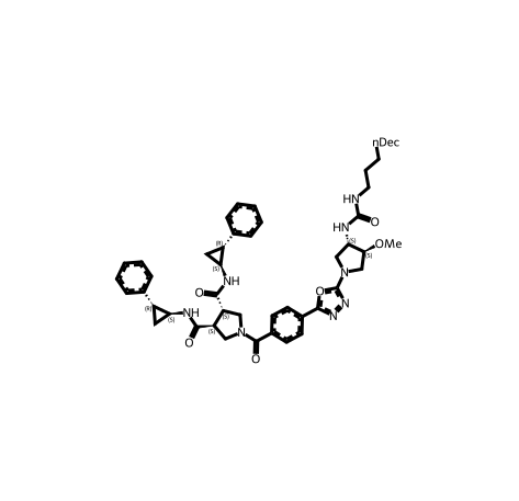 CCCCCCCCCCCCCNC(=O)N[C@H]1CN(c2nnc(-c3ccc(C(=O)N4C[C@@H](C(=O)N[C@H]5C[C@@H]5c5ccccc5)[C@H](C(=O)N[C@H]5C[C@@H]5c5ccccc5)C4)cc3)o2)C[C@@H]1OC